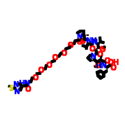 CO[C@H]([C@@H](C)C(=O)N[C@@H](Cc1ccccc1)C(=O)O)[C@@H]1CCCN1C(=O)C[C@@H](OC)[C@H](C(C)C)N(C)C(=O)[C@@H](NC(=O)[C@]1(C)CCCN1C(=O)CCOCCOCCOCCOCCOCCOCCNC(=O)c1cnc(SC)nc1)C(C)C